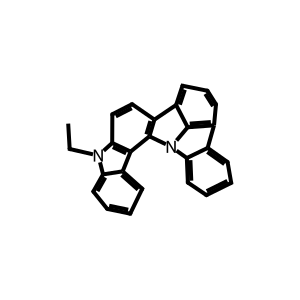 CCn1c2ccccc2c2c1ccc1c3cccc4c5ccccc5n(c43)c12